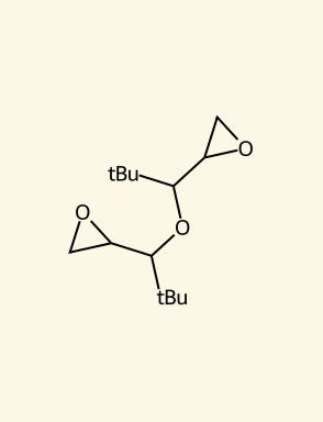 CC(C)(C)C(OC(C1CO1)C(C)(C)C)C1CO1